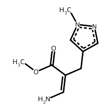 COC(=O)C(=CN)Cc1cnn(C)c1